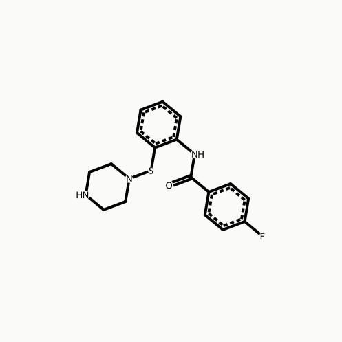 O=C(Nc1ccccc1SN1CCNCC1)c1ccc(F)cc1